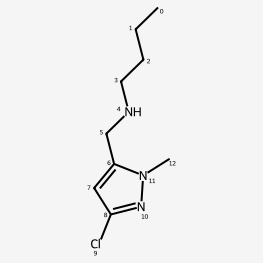 CCCCNCc1cc(Cl)nn1C